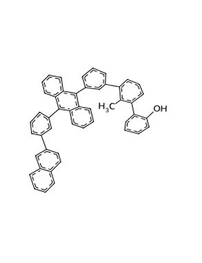 Cc1c(-c2cccc(-c3c4ccccc4c(-c4cccc(-c5ccc6ccccc6c5)c4)c4ccccc34)c2)cccc1-c1ccccc1O